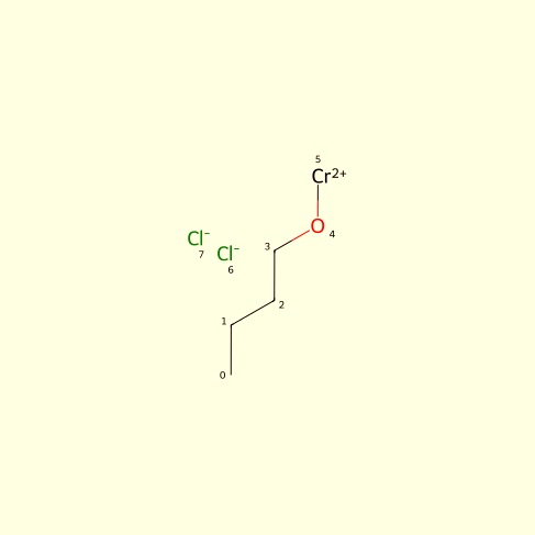 CCCC[O][Cr+2].[Cl-].[Cl-]